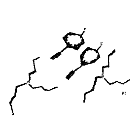 C#Cc1ccc(F)cc1.C#Cc1ccc(F)cc1.CCCCP(CCCC)CCCC.CCCCP(CCCC)CCCC.[Pt]